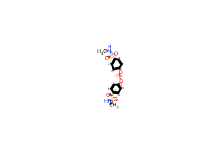 CNS(=O)(=O)c1ccc(OBOc2ccc(S(=O)(=O)NC)cc2)cc1